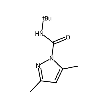 Cc1cc(C)n(C(=O)NC(C)(C)C)n1